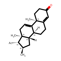 CC(=O)[C@H]1[C@H](C)C[C@H]2[C@@H]3CCC4=CC(=O)CC[C@]4(C)C3=CC[C@@]21C